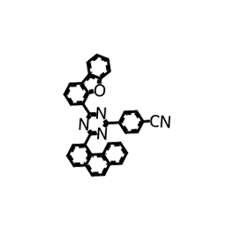 N#Cc1ccc(-c2nc(-c3cccc4c3oc3ccccc34)nc(-c3cccc4ccc5ccccc5c34)n2)cc1